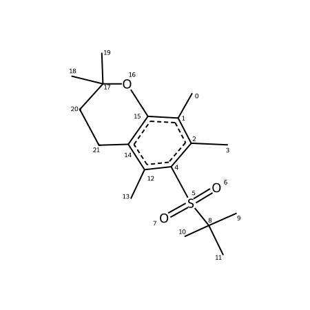 Cc1c(C)c(S(=O)(=O)C(C)(C)C)c(C)c2c1OC(C)(C)CC2